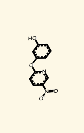 O=[N+]([O-])c1ccc(Oc2cccc(O)c2)nc1